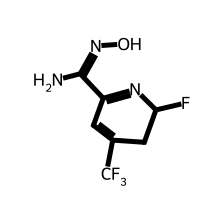 N/C(=N/O)C1=NC(F)CC(C(F)(F)F)=C1